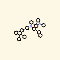 c1ccc(-c2c(-c3ccccc3)c3cc(-c4ccc(N(c5ccc(-c6ccc7ccccc7c6)cc5)c5ccccc5-c5cccc6c5c5ccccc5n6-c5ccccc5)cc4)ccc3c3ccccc23)cc1